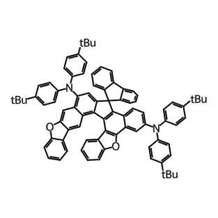 CC(C)(C)c1ccc(N(c2ccc(C(C)(C)C)cc2)c2ccc3c4c(c5c6ccccc6oc5c3c2)-c2c(cc(N(c3ccc(C(C)(C)C)cc3)c3ccc(C(C)(C)C)cc3)c3cc5oc6ccccc6c5cc23)C42c3ccccc3-c3ccccc32)cc1